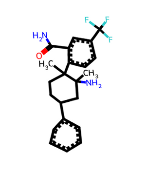 CC1(N)CC(c2ccccc2)CCC1(C)c1ccc(C(F)(F)F)cc1C(N)=O